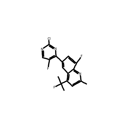 Cc1cc(C(C)(C)F)c2cc(-c3nc(Cl)ncc3F)cc(F)c2n1